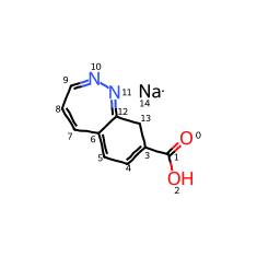 O=C(O)C1=CC=C2C=CC=NN=C2C1.[Na]